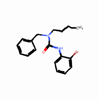 CCCCN(Cc1ccccc1)C(=O)Nc1ccccc1Br